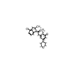 C[C@@H]1Cc2c(Cl)cccc2N1C(=O)Cc1nc(N2CCOCC2)cc(=O)n1C